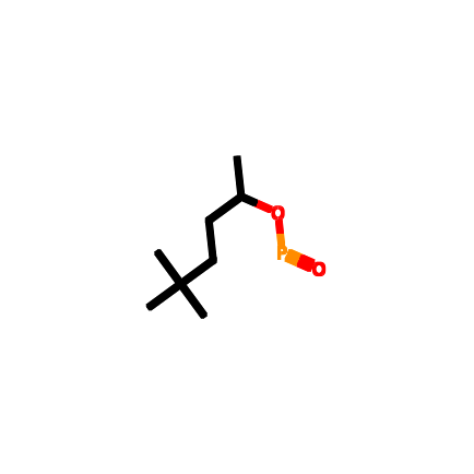 CC(CCC(C)(C)C)OP=O